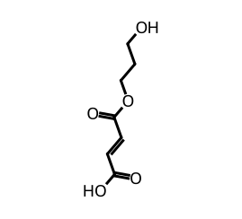 O=C(O)/C=C/C(=O)OCCCO